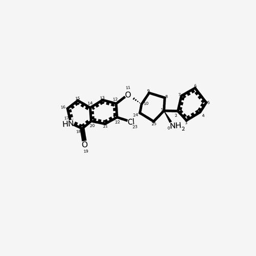 N[C@]1(c2ccccc2)CC[C@@H](Oc2cc3cc[nH]c(=O)c3cc2Cl)CC1